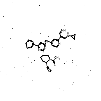 C#C[C@H]1CC[C@@H](c2nc(Nc3ccnc(/C(C=N)=C/NC4CC4)c3)cc(-c3cccnc3)n2)CN1C(C)=O